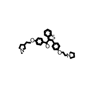 CN1CCC(CCOc2ccc(C(=O)c3c(-c4ccc(OCCN5CCCC5)cc4)sc4ccccc34)cc2)C1